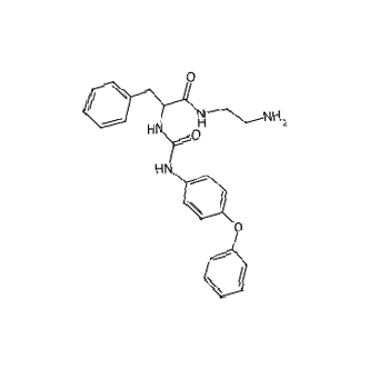 NCCNC(=O)C(Cc1ccccc1)NC(=O)Nc1ccc(Oc2ccccc2)cc1